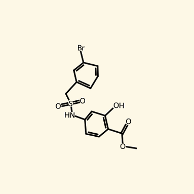 COC(=O)c1ccc(NS(=O)(=O)Cc2cccc(Br)c2)cc1O